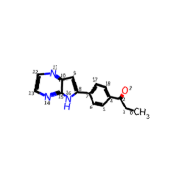 CCC(=O)c1ccc(-c2cc3nccnc3[nH]2)cc1